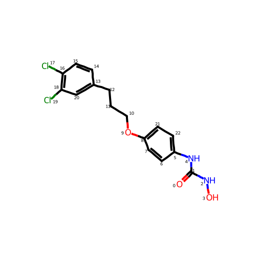 O=C(NO)Nc1ccc(OCCCc2ccc(Cl)c(Cl)c2)cc1